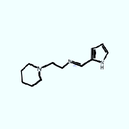 C(=N\CCN1CCCCC1)/c1ccc[nH]1